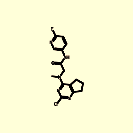 CN(CC(=O)Nc1ccc(F)nc1)c1nc(Cl)nc2c1CCC2